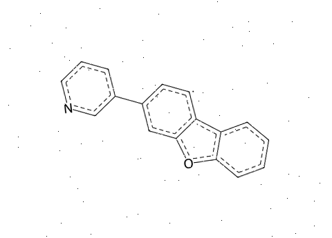 [c]1cc(-c2cccnc2)cc2oc3ccccc3c12